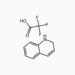 C1=Cc2ccccc2NC1.O=C(O)C(F)(F)F